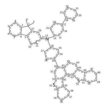 CC1(C)c2ccccc2-c2ccc(N(c3ccc(-c4ccccc4)cc3)c3ccc(-c4cc5sc6ccccc6c5c5c4ccc4c6ccccc6sc45)cc3)cc21